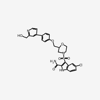 NC(=O)c1[nH]c2ccc(Cl)cc2c1S(=O)(=O)N1CCOC(COc2ccc(-c3ccnc(CO)c3)cc2)C1